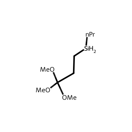 CCC[SiH2]CCC(OC)(OC)OC